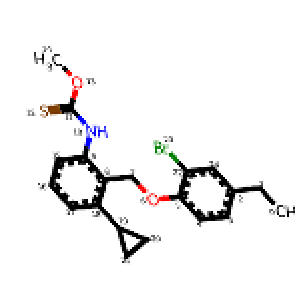 CCc1ccc(OCc2c(NC(=S)OC)cccc2C2CC2)c(Br)c1